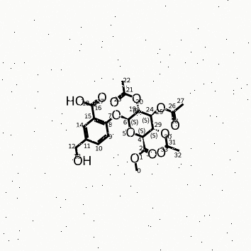 COC(=O)[C@H]1O[C@@H](Oc2ccc(CO)cc2C(=O)O)[C@H](OC(C)=O)[C@@H](OC(C)=O)[C@@H]1OC(C)=O